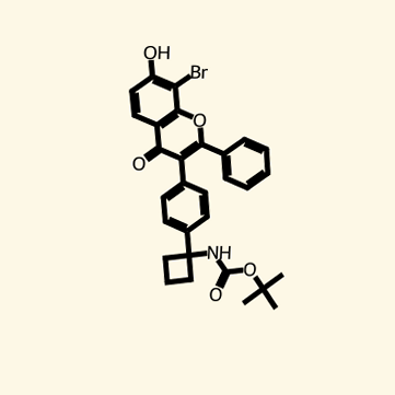 CC(C)(C)OC(=O)NC1(c2ccc(-c3c(-c4ccccc4)oc4c(Br)c(O)ccc4c3=O)cc2)CCC1